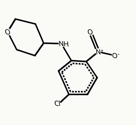 O=[N+]([O-])c1ccc(Cl)cc1NC1CCOCC1